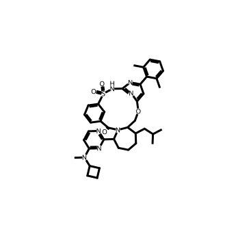 Cc1cccc(C)c1-c1cc2nc(n1)NS(=O)(=O)c1cccc(c1)C(=O)N1C(c3nccc(N(C)C4CCC4)n3)CCCC(CC(C)C)C1CO2